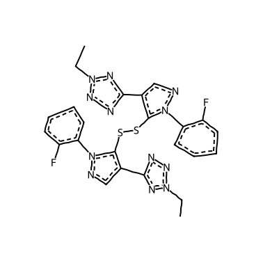 CCn1nnc(-c2cnn(-c3ccccc3F)c2SSc2c(-c3nnn(CC)n3)cnn2-c2ccccc2F)n1